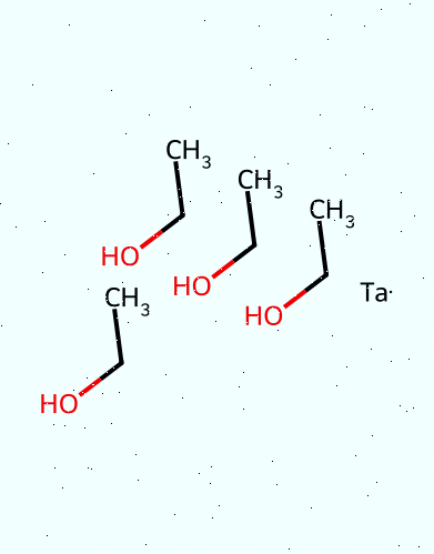 CCO.CCO.CCO.CCO.[Ta]